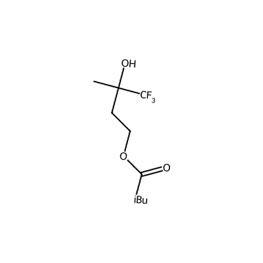 CCC(C)C(=O)OCCC(C)(O)C(F)(F)F